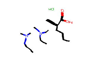 C=C(CCCC)C(=O)O.CCN(C)C.CCN(C)C.Cl